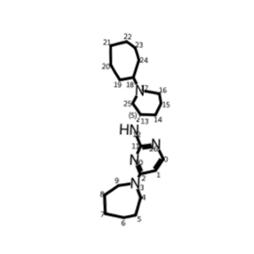 c1cc(N2CCCCCC2)nc(N[C@H]2CCCN(C3CCCCCC3)C2)n1